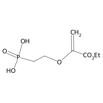 C=C(OCCP(=O)(O)O)C(=O)OCC